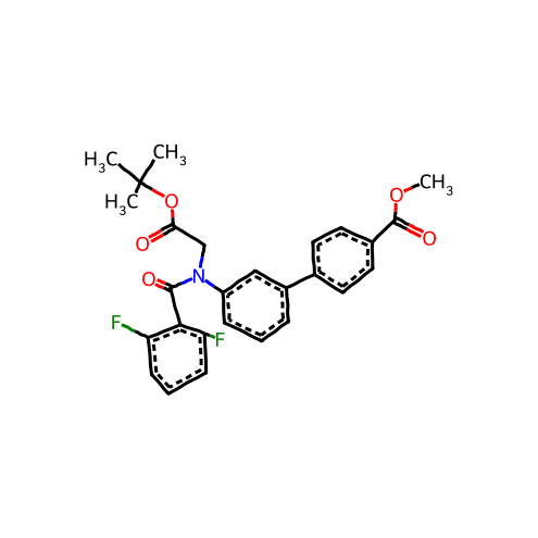 COC(=O)c1ccc(-c2cccc(N(CC(=O)OC(C)(C)C)C(=O)c3c(F)cccc3F)c2)cc1